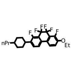 CCCC1CCC(c2ccc3c(c2F)C(F)(F)C(F)(F)c2c-3ccc(OCC)c2F)CC1